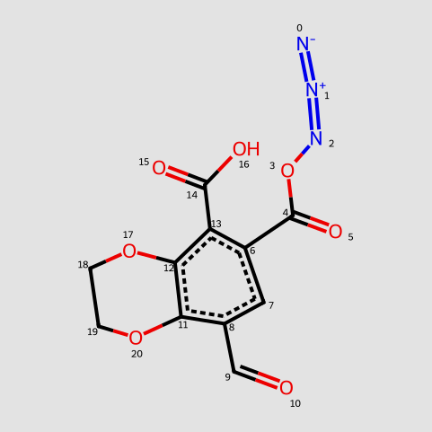 [N-]=[N+]=NOC(=O)c1cc(C=O)c2c(c1C(=O)O)OCCO2